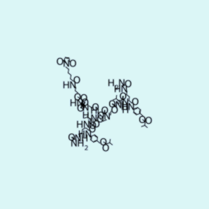 CC(C)C(=O)OCc1ccc(NC(=O)C(CCCNC(N)=O)NC(=O)[C@@H](NC(=O)OCCN(CCOC(=O)N[C@H](C(=O)NC(CCCNC(N)=O)C(=O)Nc2ccc(COC(=O)C(C)C)cc2)C(C)C)C(=O)OCCOCCNS(=O)(=O)NC(=O)OCCCNC(=O)CCCCCN2C(=O)C=CC2=O)C(C)C)cc1